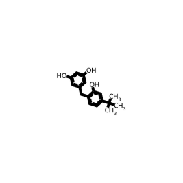 CC(C)(C)c1ccc(Cc2cc(O)cc(O)c2)c(O)c1